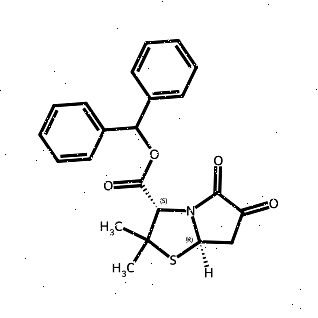 CC1(C)S[C@@H]2CC(=O)C(=O)N2[C@H]1C(=O)OC(c1ccccc1)c1ccccc1